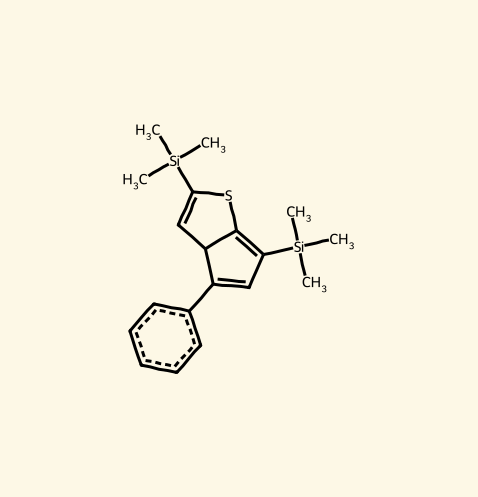 C[Si](C)(C)C1=CC2C(c3ccccc3)=CC([Si](C)(C)C)=C2S1